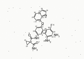 N.NC(=O)C1(C(=O)Nc2ccc(Oc3cccn4ccnc34)cc2)CC1.Nc1ccc(F)cc1